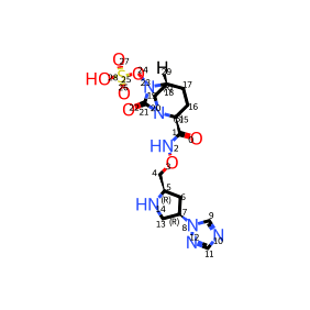 O=C(NOC[C@H]1C[C@@H](n2cncn2)CN1)[C@@H]1CC[C@@H]2CN1C(=O)N2OS(=O)(=O)O